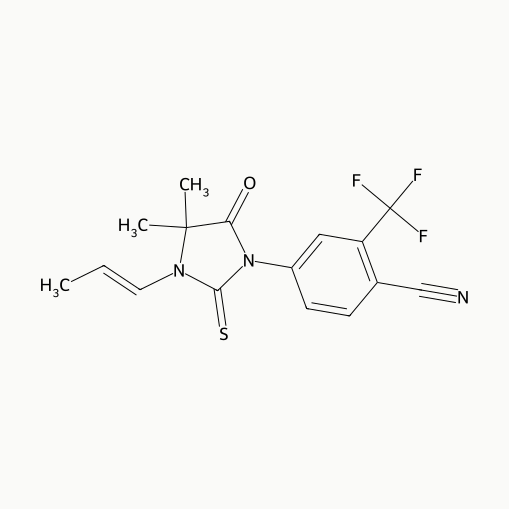 CC=CN1C(=S)N(c2ccc(C#N)c(C(F)(F)F)c2)C(=O)C1(C)C